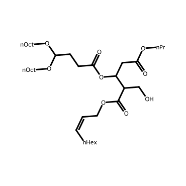 CCCCCC/C=C\COC(=O)C(CO)C(CC(=O)OCCC)OC(=O)CCC(OCCCCCCCC)OCCCCCCCC